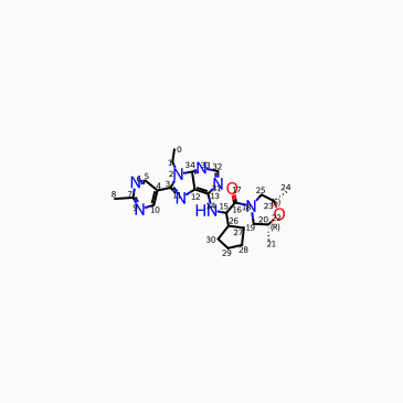 CCn1c(-c2cnc(C)nc2)nc2c(NC(C(=O)N3C[C@@H](C)O[C@@H](C)C3)C3CCCC3)ncnc21